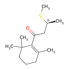 CS[C@@H](C)CC(=O)C1=C(C)CCCC1(C)C